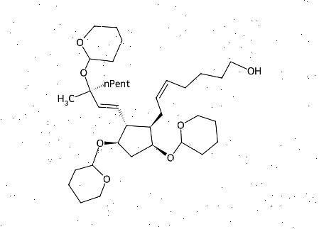 CCCCC[C@@](C)(/C=C/[C@@H]1[C@@H](C/C=C\CCCCO)[C@@H](OC2CCCCO2)C[C@H]1OC1CCCCO1)OC1CCCCO1